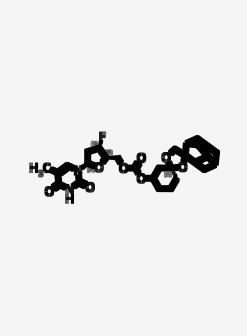 Cc1cn([C@H]2C[C@H](F)[C@@H](COC(=O)OC3CCC[C@]4(C3)OCC3(O4)C4CC5CC(C4)CC3C5)O2)c(=O)[nH]c1=O